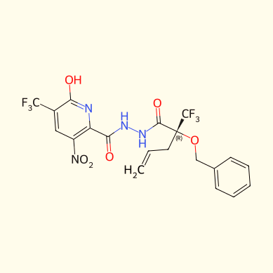 C=CC[C@@](OCc1ccccc1)(C(=O)NNC(=O)c1nc(O)c(C(F)(F)F)cc1[N+](=O)[O-])C(F)(F)F